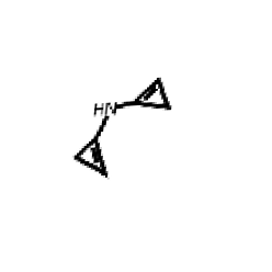 C1=C(NC2=CC2)C1